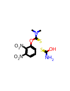 CN(C)C(=S)Oc1cccc([N+](=O)[O-])c1[N+](=O)[O-].NC(O)=S